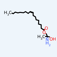 CCCCCCCC/C=C\CCCCCCCC(=O)OCC(C)(N)CO